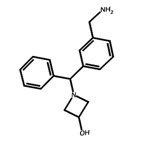 NCc1cccc(C(c2ccccc2)N2CC(O)C2)c1